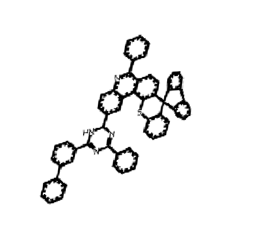 c1ccc(C2=NC(c3ccc4nc(-c5ccccc5)c5ccc6c(c5c4c3)Sc3ccccc3C63c4ccccc4-c4ccccc43)NC(c3cccc(-c4ccccc4)c3)=N2)cc1